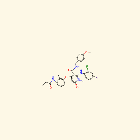 CCC(=O)Nc1cccc(Oc2cc(=O)n(C)c(Nc3ccc(I)cc3F)c2C(=O)NCc2ccc(OC)cc2)c1C